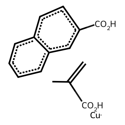 C=C(C)C(=O)O.O=C(O)c1ccc2ccccc2c1.[Cu]